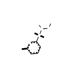 CON(C)S(=O)(=O)c1cccc(=O)[nH]1